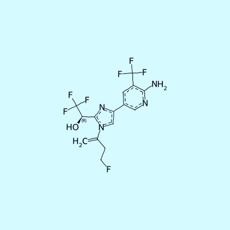 C=C(CCF)n1cc(-c2cnc(N)c(C(F)(F)F)c2)nc1[C@@H](O)C(F)(F)F